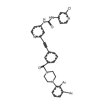 CC(=O)c1cccc(N2CCN(C(=O)c3cccc(C#Cc4cc(NC(=O)Nc5ccnc(Cl)c5)ccn4)c3)CC2)c1C(C)=O